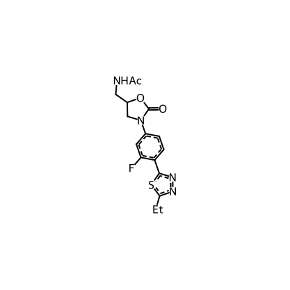 CCc1nnc(-c2ccc(N3CC(CNC(C)=O)OC3=O)cc2F)s1